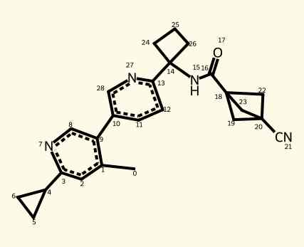 Cc1cc(C2CC2)ncc1-c1ccc(C2(NC(=O)C34CC(C#N)(C3)C4)CCC2)nc1